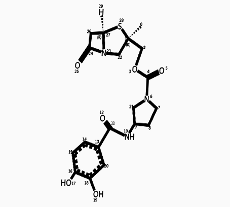 C[C@]1(COC(=O)N2CCC(NC(=O)c3ccc(O)c(O)c3)C2)CN2C(=O)C[C@H]2S1